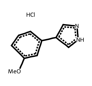 COc1cccc(-c2cn[nH]c2)c1.Cl